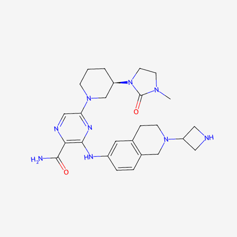 CN1CCN([C@@H]2CCCN(c3cnc(C(N)=O)c(Nc4ccc5c(c4)CCN(C4CNC4)C5)n3)C2)C1=O